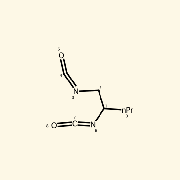 CCCC(CN=C=O)N=C=O